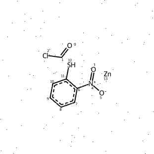 O=CCl.O=[N+]([O-])c1ccccc1S.[Zn]